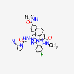 CNC(=O)c1ccc2c(c1)CCc1cc(C(=O)NC)ccc1C2(CCNCC(=O)N1CCCC1C#N)c1nnc(-c2ccc(F)cc2)[nH]1